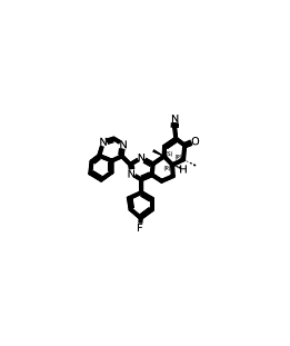 C[C@H]1C(=O)C(C#N)=C[C@@]2(C)c3nc(-c4ncnc5ccccc45)nc(-c4ccc(F)cc4)c3CC[C@H]12